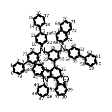 c1ccc(-c2ccc(N(c3ccc(-c4ccccc4)cc3)c3cc(-c4cc5oc6ccccc6c5c5c4c4ccccc4n5-c4ccccc4)cc(N(c4ccc(-c5ccccc5)cc4)c4ccc5ccccc5c4)c3)cc2)cc1